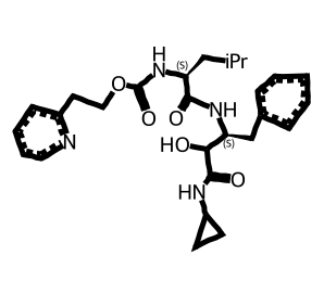 CC(C)C[C@H](NC(=O)OCCc1ccccn1)C(=O)N[C@@H](Cc1ccccc1)C(O)C(=O)NC1CC1